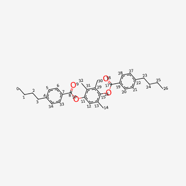 CCCCc1ccc(C(=O)Oc2cc(C)c(OC(=O)c3ccc(CCCC)cc3)c(C)c2C)cc1